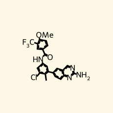 COc1ccc(C(=O)Nc2cc(Cl)c(C)c(-c3ccc4nc(N)ncc4c3)c2)cc1C(F)(F)F